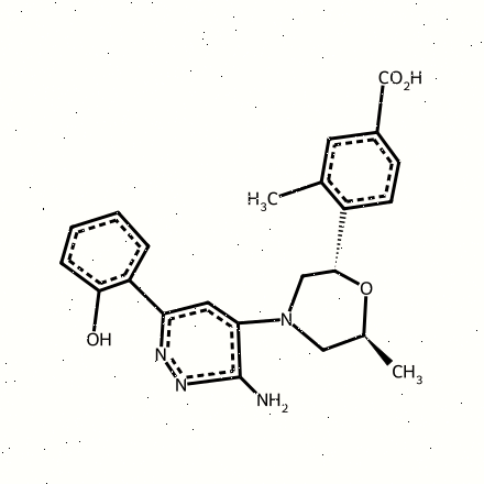 Cc1cc(C(=O)O)ccc1[C@H]1CN(c2cc(-c3ccccc3O)nnc2N)C[C@H](C)O1